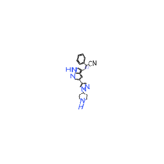 N#C/C(=C/c1c[nH]c2ncc(-c3cnn(C4CCNCC4)c3)cc12)c1ccccc1